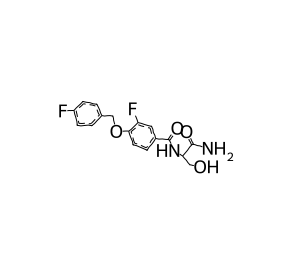 NC(=O)C(CO)NC(=O)c1ccc(OCc2ccc(F)cc2)c(F)c1